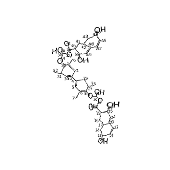 CC1=CC(C2=CC(C)=C(OC(O)OC(=O)C3CC4CC(O)C=CC4=CC3O)C(C)C2)=CC(C)C1OC(O)OC(=O)C1CC2CC(O)C=CC2=CC1O